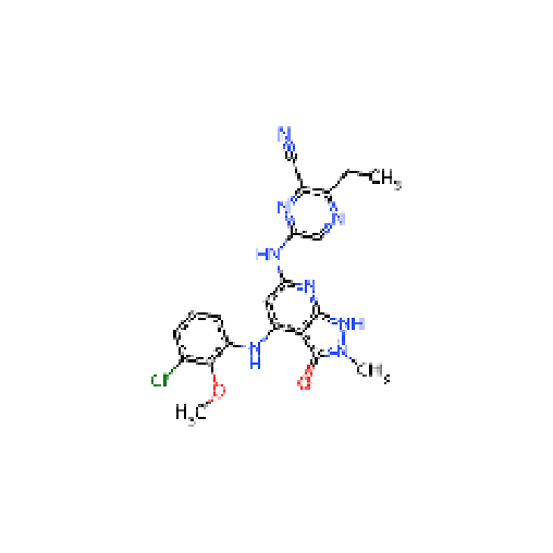 CCc1ncc(Nc2cc(Nc3cccc(Cl)c3OC)c3c(=O)n(C)[nH]c3n2)nc1C#N